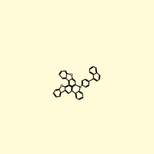 c1ccc(N(c2ccc(-c3cccc4ccccc34)cc2)c2ccc3c(c2)oc2ccccc23)c(-c2ccc3oc4ccccc4c3c2)c1